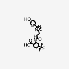 O=C(CCc1nc(-c2ccc(O)cn2)no1)NC1=C(C(=O)O)CCC(C(F)(F)F)C1